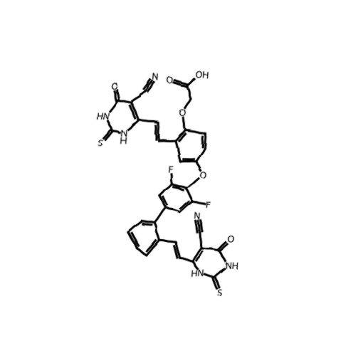 N#Cc1c(/C=C/c2cc(Oc3c(F)cc(-c4ccccc4/C=C/c4[nH]c(=S)[nH]c(=O)c4C#N)cc3F)ccc2OCC(=O)O)[nH]c(=S)[nH]c1=O